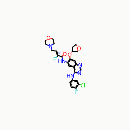 O=C(Nc1cc2c(Nc3ccc(F)c(Cl)c3)ncnc2cc1OC1CCOC1)/C(F)=C/CN1CCOCC1